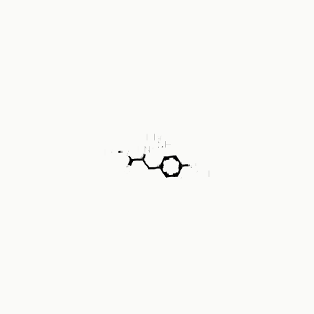 Br.COC(=O)C(N)Cc1ccc(OC)cc1.N